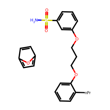 CCCc1ccccc1OCCCOc1cccc(S(N)(=O)=O)c1.c1cc2ccc1o2